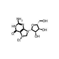 CCN1CN([C@@H]2O[C@H](CO)[C@@H](O)[C@H]2O)c2nc(N)[nH]c(=O)c21